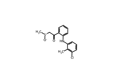 Cc1c(Cl)cccc1Nc1ccccc1C(=O)C[S+](C)[O-]